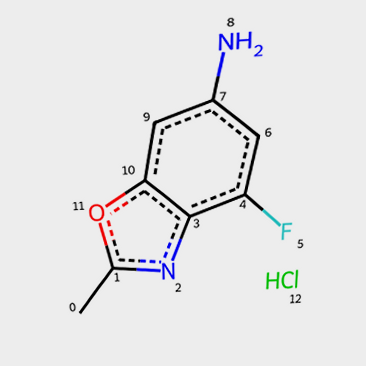 Cc1nc2c(F)cc(N)cc2o1.Cl